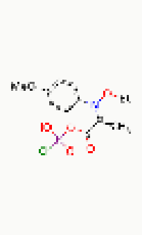 CCON(c1ccc(OC)cc1)[C@@H](C)C(=O)OP(=O)(O)Cl